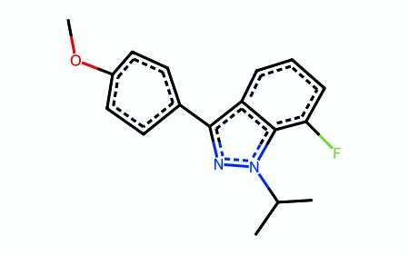 COc1ccc(-c2nn(C(C)C)c3c(F)cccc23)cc1